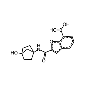 O=C(NC12CCC(O)(CC1)C2)c1cc2cccc(B(O)O)c2o1